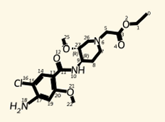 CCOC(=O)CN1CC[C@@H](NC(=O)c2cc(Cl)c(N)cc2OC)[C@H](OC)C1